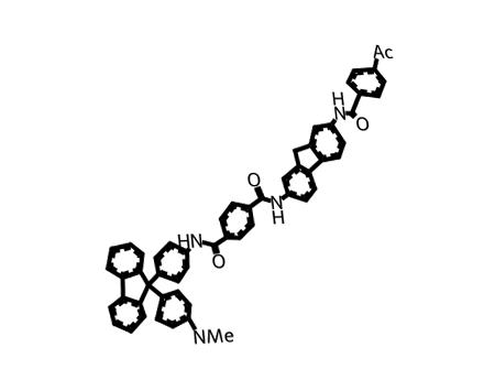 CNc1ccc(C2(c3ccc(NC(=O)c4ccc(C(=O)Nc5ccc6c(c5)Cc5cc(NC(=O)c7ccc(C(C)=O)cc7)ccc5-6)cc4)cc3)c3ccccc3-c3ccccc32)cc1